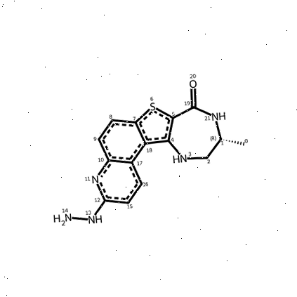 C[C@@H]1CNc2c(sc3ccc4nc(NN)ccc4c23)C(=O)N1